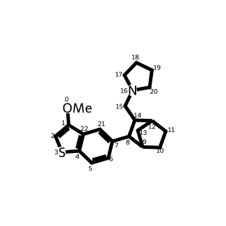 COc1csc2ccc(C3C4CCC(C4)C3CN3CCCC3)cc12